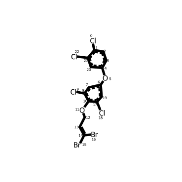 Clc1ccc(Oc2cc(Cl)c(OCC=C(Br)Br)c(Cl)c2)cc1Cl